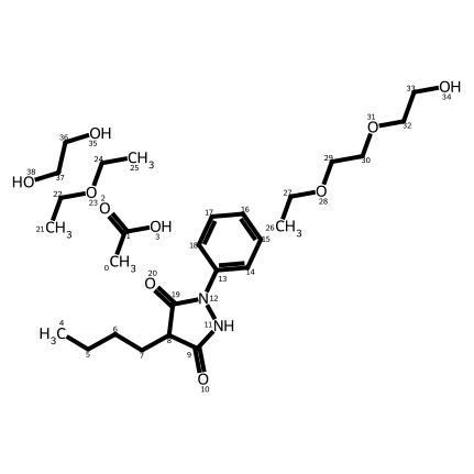 CC(=O)O.CCCCC1C(=O)NN(c2ccccc2)C1=O.CCOCC.CCOCCOCCO.OCCO